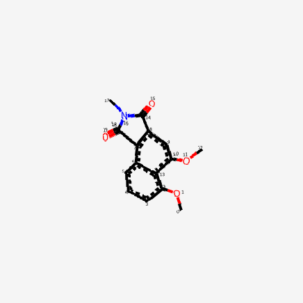 COc1cccc2c3c(cc(OC)c12)C(=O)N(C)C3=O